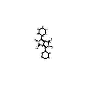 CN1C(=O)C2=C(C3CCCCC3)N(C)C(=O)C2=C1C1CCCCC1